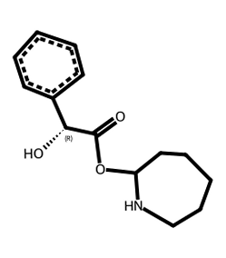 O=C(OC1CCCCCN1)[C@H](O)c1ccccc1